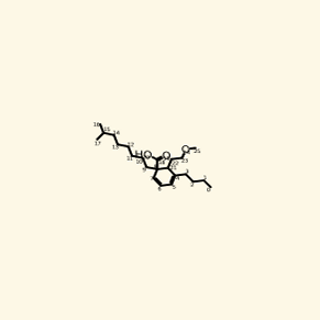 CCCCC1=CC=CC(CCCCCCC(C)C)(C(=O)O)C1CCOC